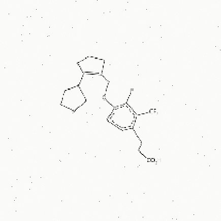 O=C(O)CCc1ccc(OCC2=C(C3CCCC3)CCC2)c(F)c1C(F)(F)F